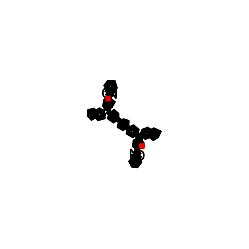 c1ccc2cc(N(c3ccc(-c4ccc(-c5ccc(N(c6ccc(-c7nc8ccccc8o7)cc6)c6ccc7ccccc7c6)cc5)cc4)cc3)c3ccc(-c4nc5ccccc5o4)cc3)ccc2c1